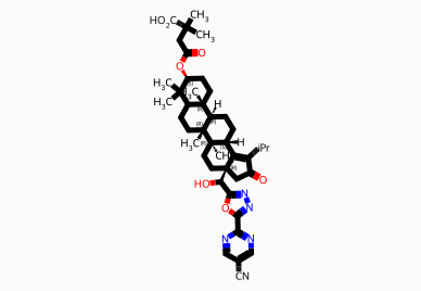 CC(C)C1=C2[C@H]3CC[C@@H]4[C@@]5(C)CC[C@H](OC(=O)CC(C)(C)C(=O)O)C(C)(C)C5CC[C@@]4(C)[C@]3(C)CC[C@@]2(C(O)c2nnc(-c3ncc(C#N)cn3)o2)CC1=O